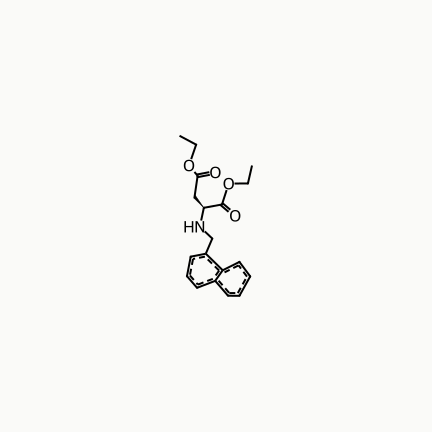 CCOC(=O)C[C@H](NCc1cccc2ccccc12)C(=O)OCC